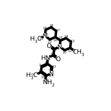 Cc1cc(NC(=O)C(=O)N2CC(C)CCC2C2CCCN(C)C2)cnc1N